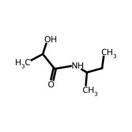 CCC(C)NC(=O)C(C)O